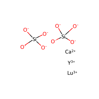 [Ca+2].[Lu+3].[O-][Si]([O-])([O-])[O-].[O-][Si]([O-])([O-])[O-].[Y+3]